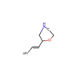 CCCC=CC1CNCCO1